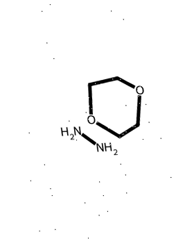 C1COCCO1.NN